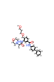 COCCCOCc1ccc(C(=O)Nc2ccc(-c3ccccc3)cc2)cc1NC(=O)[C@@H](C)N1CCOCC1